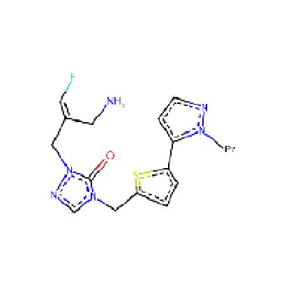 CC(C)n1nccc1-c1ccc(Cn2cnn(C/C(=C/F)CN)c2=O)s1